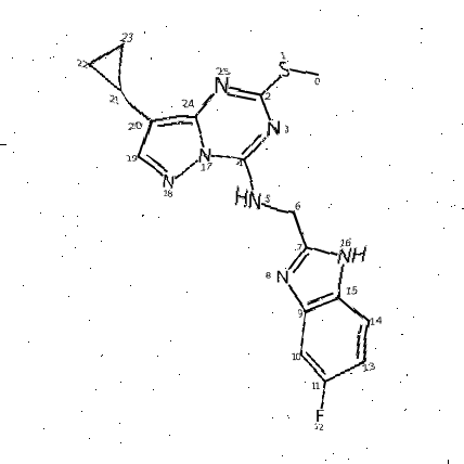 CSc1nc(NCc2nc3cc(F)ccc3[nH]2)n2ncc(C3CC3)c2n1